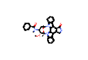 CO[C@@H]1C(N(C)C(=O)c2ccccc2)C[C@H]2O[C@]1(C)n1c3ccccc3c3c4c(c5c6ccccc6n2c5c31)C(=O)NC4